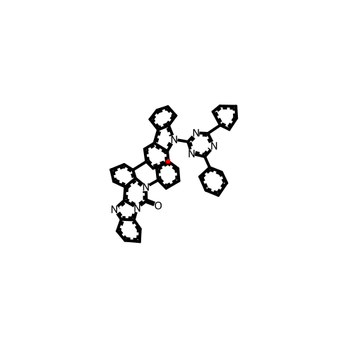 O=c1n(-c2ccccc2)c2c(-c3ccc4c(c3)c3ccccc3n4-c3nc(-c4ccccc4)nc(-c4ccccc4)n3)cccc2c2nc3ccccc3n12